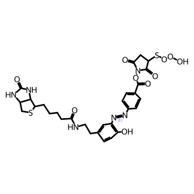 O=C(CCCCC1SCC2NC(=O)NC21)NCCc1ccc(O)c(/N=N/c2ccc(C(=O)ON3C(=O)CC(SOOO)C3=O)cc2)c1